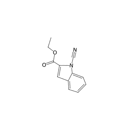 CCOC(=O)c1cc2ccccc2n1C#N